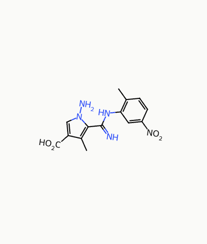 Cc1ccc([N+](=O)[O-])cc1NC(=N)c1c(C)c(C(=O)O)cn1N